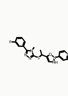 Cc1cc(N2NC=C(C(C)Sc3nnc(-c4cccc(F)c4)n3C)O2)ccn1